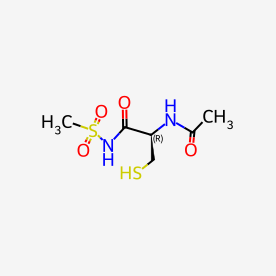 CC(=O)N[C@@H](CS)C(=O)NS(C)(=O)=O